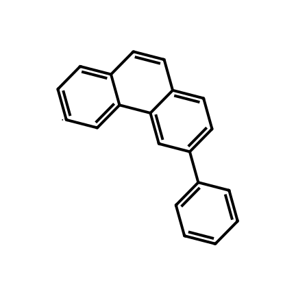 [c]1ccc2ccc3ccc(-c4ccccc4)cc3c2c1